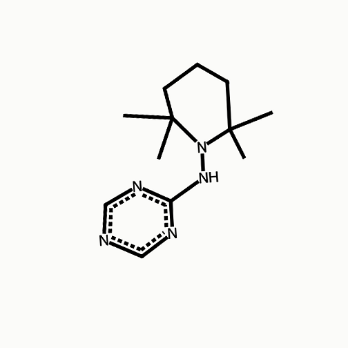 CC1(C)CCCC(C)(C)N1Nc1ncncn1